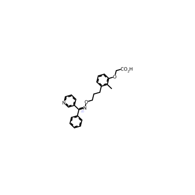 Cc1c(CCCO/N=C(/c2ccccc2)c2cccnc2)cccc1OCC(=O)O